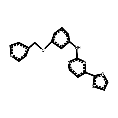 c1cc(Nc2nccc(-c3nccs3)n2)cc(OCc2ccncc2)c1